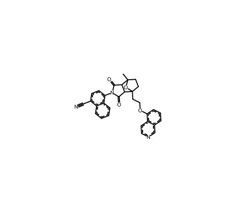 CC12CCC(CCOc3cccc4cnccc34)(O1)C1C(=O)N(c3ccc(C#N)c4ccccc34)C(=O)C12